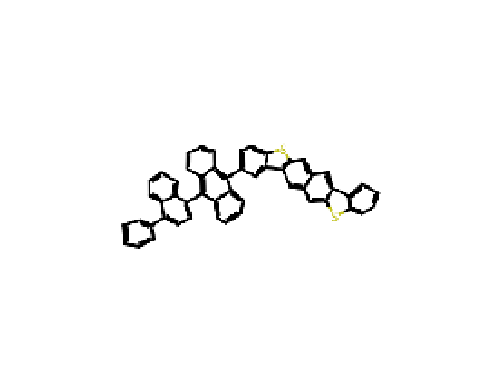 c1ccc(-c2ccc(-c3c4ccccc4c(-c4ccc5sc6cc7cc8c(cc7cc6c5c4)sc4ccccc48)c4ccccc34)c3ccccc23)cc1